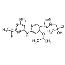 CC(C)Oc1cc(Nc2cc(N)nc([C@H](C)F)n2)ncc1-c1cnn(CC(C)(C)O)c1